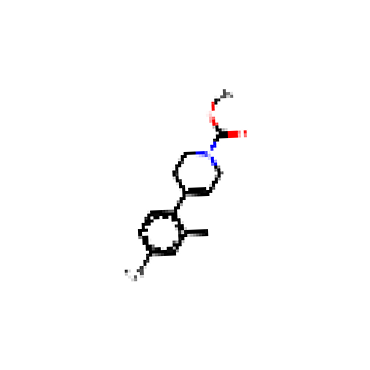 Cc1cc([N+](=O)[O-])ccc1C1=CCN(C(=O)OC(C)(C)C)CC1